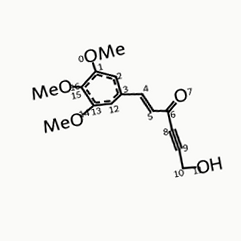 COc1cc(C=CC(=O)C#CCO)cc(OC)c1OC